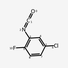 O=C=Nc1cc(Cl)ccc1F